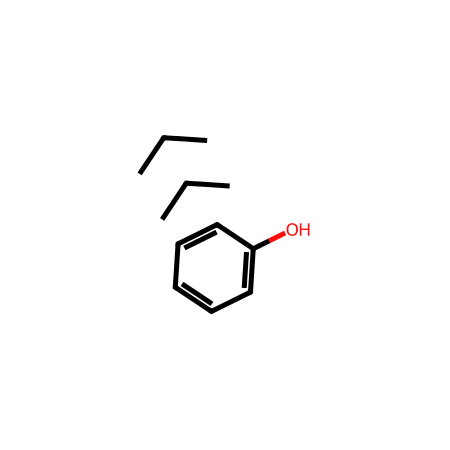 CCC.CCC.Oc1ccccc1